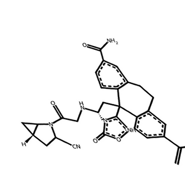 C=C(N)c1ccc2c(c1)CCc1cc(C(N)=O)ccc1C2(C[C@H](C)NCC(=O)N1C(C#N)C[C@@H]2CC21)c1nc(=O)o[nH]1